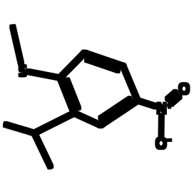 CSc1ccc([N+](=O)[O-])cc1[C](C)C